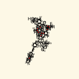 COC(=O)N[C@H](C(=O)N[C@@H](Cc1ccc(C#Cc2cnc(N3CC4CCC(C3)N4C3COC3)nc2)cc1)[C@H](CN(Cc1c(F)cc(-c2ccn(C(F)F)n2)cc1F)NC(=O)[C@@H](NC(=O)OC)C(C)(C)C(F)(F)F)OC(=O)OCOC(=O)CC(C)(C)c1c(CC(=O)NCC(=O)O)cc(C)cc1OP(=O)(O)O)C(C)(C)C(F)(F)F